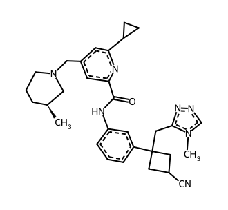 C[C@H]1CCCN(Cc2cc(C(=O)Nc3cccc(C4(Cc5nncn5C)CC(C#N)C4)c3)nc(C3CC3)c2)C1